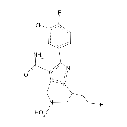 NC(=O)c1c(-c2ccc(F)c(Cl)c2)nn2c1CN(C(=O)O)CC2CCF